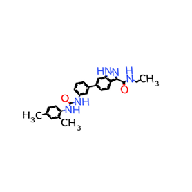 CCNC(=O)c1n[nH]c2cc(-c3cccc(NC(=O)Nc4ccc(C)cc4C)c3)ccc12